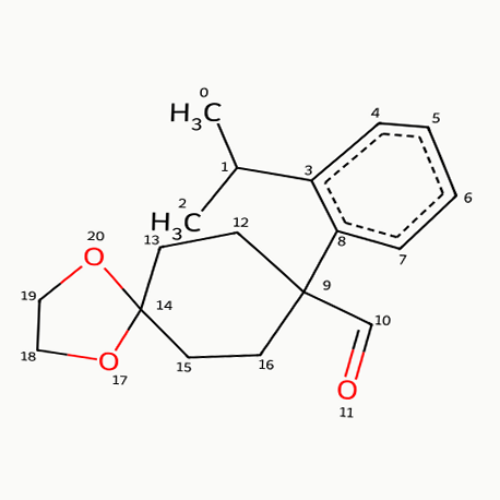 CC(C)c1ccccc1C1(C=O)CCC2(CC1)OCCO2